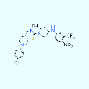 CN(CC1CCN(c2ccc(Cl)cc2)CC1)C(=S)N1CCC(Nc2ccc([N+](=O)[O-])c(C(F)(F)F)c2)CC1